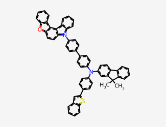 CC1(C)c2ccccc2-c2ccc(N(c3ccc(-c4ccc(-n5c6ccccc6c6c7c(ccc65)oc5ccccc57)cc4)cc3)c3ccc(-c4cc5ccccc5s4)cc3)cc21